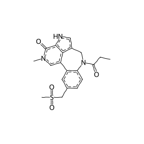 CCC(=O)N1Cc2c[nH]c3c(=O)n(C)cc(c23)-c2cc(CS(C)(=O)=O)ccc21